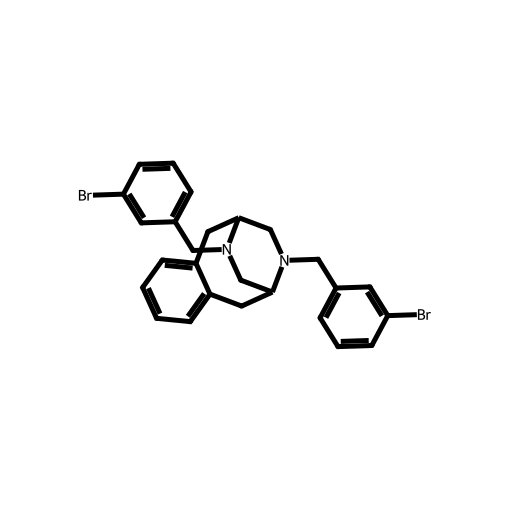 Brc1cccc(CN2CC3Cc4ccccc4CC2CN3Cc2cccc(Br)c2)c1